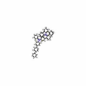 c1ccc(-c2ccc(-c3ccc(N(c4ccccc4)c4ccc(-c5ccccc5-n5c6ccccc6c6cccc(-c7ccccc7)c65)cc4)cc3)cc2)cc1